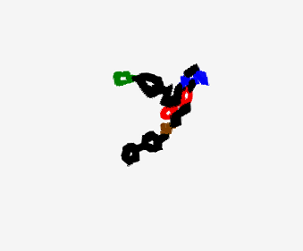 Clc1ccc(CCC2(Cn3ccnc3)OCC(CSCc3ccc(-c4ccccc4)cc3)O2)cc1